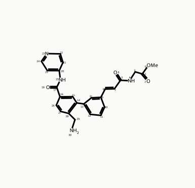 COC(=O)CNC(=O)C=Cc1cccc(-c2cc(C(=O)Nc3ccncc3)ccc2CN)c1